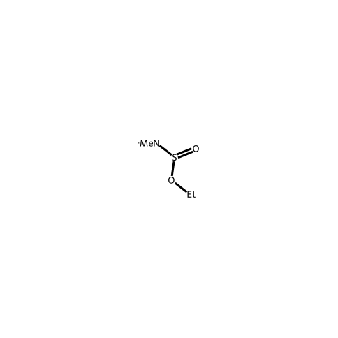 CCOS(=O)[N]C